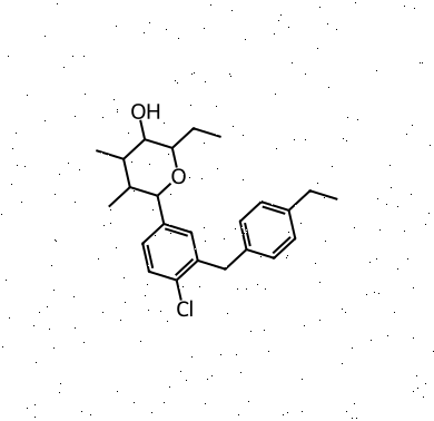 CCc1ccc(Cc2cc(C3OC(CC)C(O)C(C)C3C)ccc2Cl)cc1